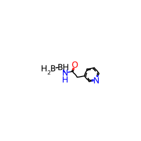 BBNC(=O)Cc1cccnc1